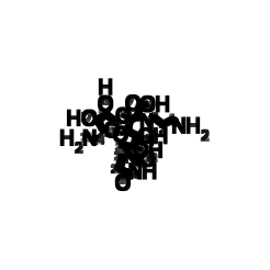 NCCCNC(C(=O)O)[C@H](O[C@@H]1O[C@H](CN)[C@@H](O)[C@H]1O)[C@H]1OC[C@@](O)(n2ccc(=O)[nH]c2=O)[C@H]1O